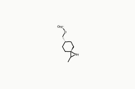 CC1N[C@]12CC[C@@H](COC=O)CC2